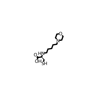 O=C(O)[C@H](CS)NCCCCCN1CCOCC1